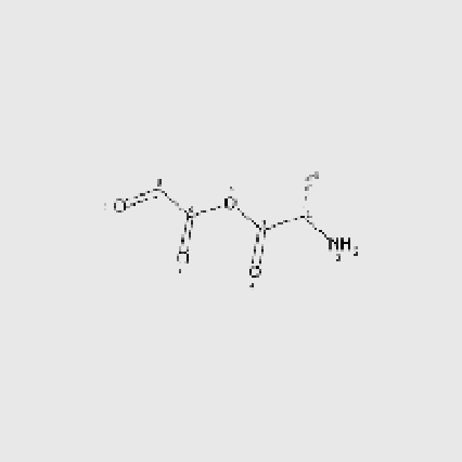 C[C@H](N)C(=O)OC(=O)C=O